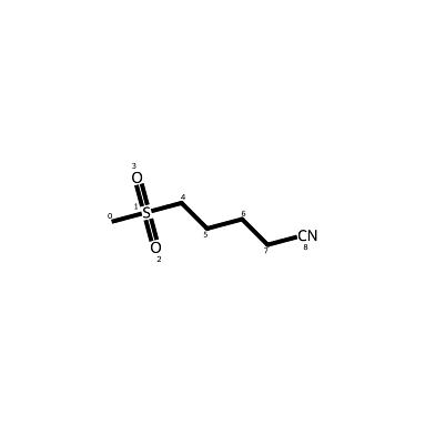 CS(=O)(=O)CCCCC#N